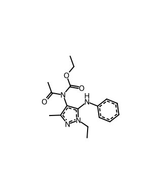 CCOC(=O)N(C(C)=O)c1c(C)nn(CC)c1Nc1ccccc1